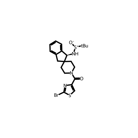 CC(C)(C)[S+]([O-])N[C@@H]1c2ccccc2CC12CCN(C(=O)c1csc(Br)n1)CC2